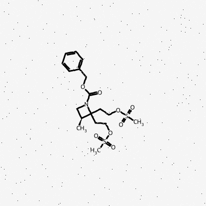 C[C@H]1CN(C(=O)OCc2ccccc2)C1(CCOS(C)(=O)=O)CCOS(C)(=O)=O